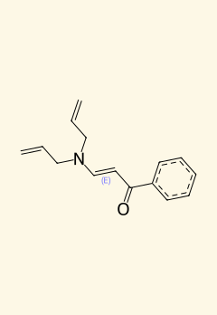 C=CCN(/C=C/C(=O)c1ccccc1)CC=C